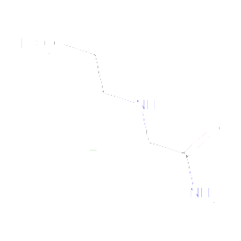 CCOC(=O)CCNCC(N)=O.Cl